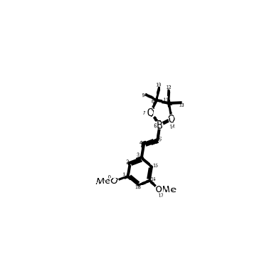 COc1cc(/C=C/B2OC(C)(C)C(C)(C)O2)cc(OC)c1